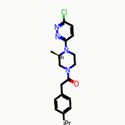 CC(C)c1ccc(CC(=O)N2CCN(c3ccc(Cl)nn3)[C@H](C)C2)cc1